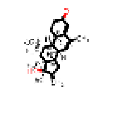 C=C1C[C@H]2[C@@H]3C=C(C)C4=CC(=O)CC[C@]4(C)[C@H]3CC[C@]2(C)[C@@]1(O)C(C)=O.CC(=O)O